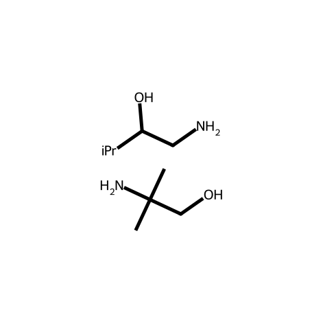 CC(C)(N)CO.CC(C)C(O)CN